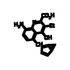 CCc1c(C(=O)O)nc2c(N)ccc(C)c2c1O.c1cc2cc-2c1